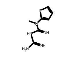 CN(C(=N)NC(=N)N)c1cccs1